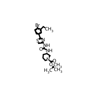 CCc1cc(-c2nc(NC(=O)N[C@H]3CCCN(C(=O)OC(C)(C)C)C3)cs2)ccc1Br